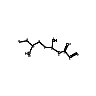 C=CC(=O)OC(O)CCC(O)CC